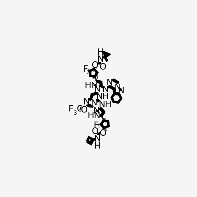 CC1(NC(=O)O[C@H]2C[C@@H](c3cc(Nc4nccn5nc6c(c45)CCCC6)[n+](-c4cc5nc(OC(F)(F)F)cn5c(Nc5cc([C@H]6CC[C@@H](OC(=O)NC78CC(C7)C8)[C@@H]6F)[nH]n5)n4)[nH]3)C[C@H]2F)CC1